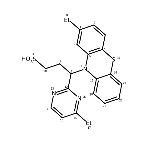 CCc1ccc2c(c1)N(C(CCS(=O)(=O)O)c1nccc(CC)n1)c1ccccc1S2